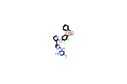 O=S(=O)(Cc1ccccc1)Nc1c(F)cc(Oc2ncccc2-c2ccnc(NC3CNC[C@H](CF)C3)n2)c(F)c1F